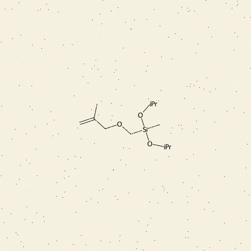 C=C(C)COC[Si](C)(OC(C)C)OC(C)C